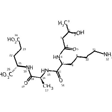 CC(O)CC(=O)N[C@@H](CCCCN)C(=O)N[C@@H](C)C(=O)N[C@@H](CCC(=O)O)C(=O)O